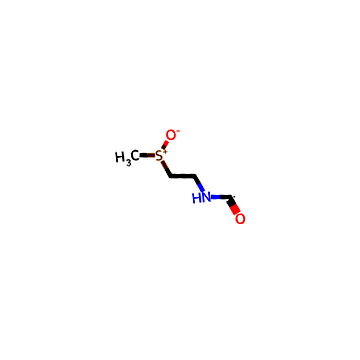 C[S+]([O-])CCN[C]=O